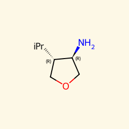 CC(C)[C@H]1COC[C@@H]1N